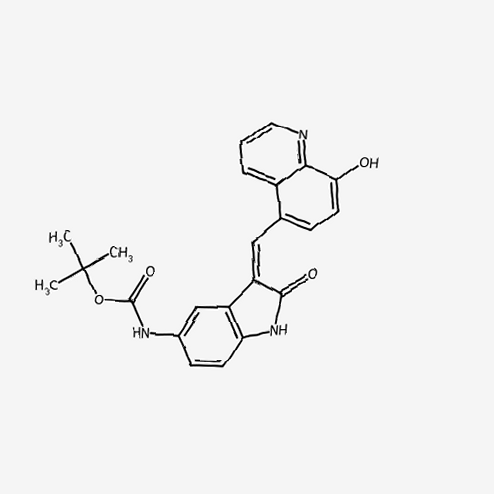 CC(C)(C)OC(=O)Nc1ccc2c(c1)C(=Cc1ccc(O)c3ncccc13)C(=O)N2